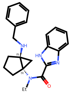 CCN(C(=O)c1nc2ccccc2[nH]1)[C@]12CCC[C@]1(NCc1ccccc1)C2